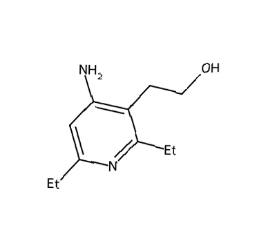 CCc1cc(N)c(CCO)c(CC)n1